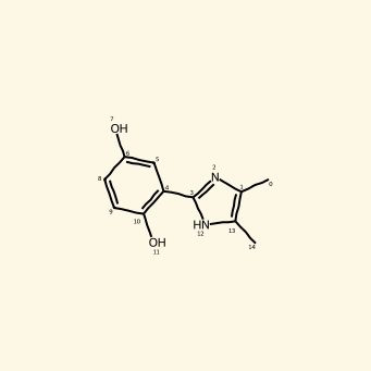 Cc1nc(-c2cc(O)ccc2O)[nH]c1C